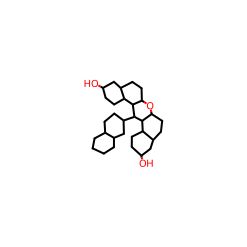 OC1CCC2C(CCC3OC4CCC5CC(O)CCC5C4C(C4CCC5CCCCC5C4)C32)C1